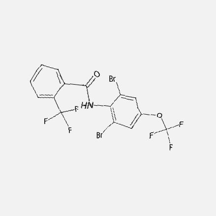 O=C(Nc1c(Br)cc(OC(F)(F)F)cc1Br)c1ccccc1C(F)(F)F